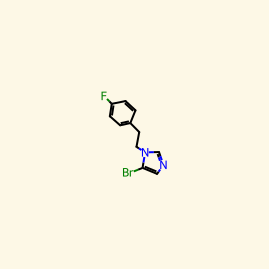 Fc1ccc(CCn2cncc2Br)cc1